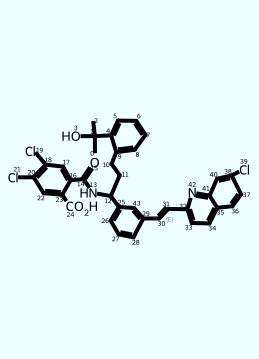 CC(C)(O)c1ccccc1CCC(NC(=O)c1cc(Cl)c(Cl)cc1C(=O)O)c1cccc(/C=C/c2ccc3ccc(Cl)cc3n2)c1